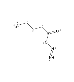 CCCCC(=O)ON=N